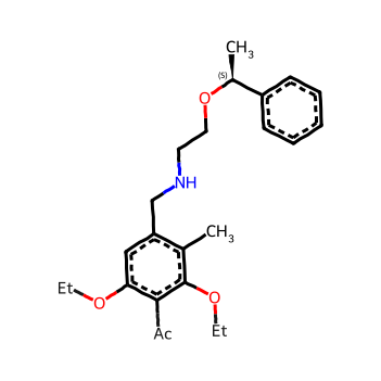 CCOc1cc(CNCCO[C@@H](C)c2ccccc2)c(C)c(OCC)c1C(C)=O